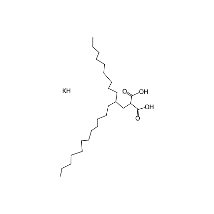 CCCCCCCCCCCCC(CCCCCCCCC)CC(C(=O)O)C(=O)O.[KH]